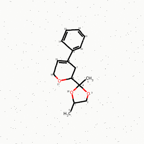 CC1COC(C)(C2CC(c3ccccc3)=CCO2)O1